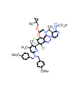 COc1ccc(CN(Cc2ccc(OC)cc2)c2cc(C)c(C(F)(F)F)c(-c3c(F)c4c5c(c3Cl)=NCNC=5N(C(C)c3cccnc3NC(=O)O)C=C(OCC3(C#N)CC3)O4)n2)cc1